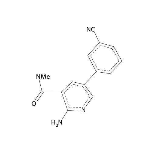 CNC(=O)c1cc(-c2cccc(C#N)c2)cnc1N